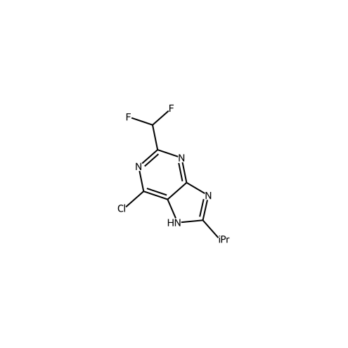 CC(C)c1nc2nc(C(F)F)nc(Cl)c2[nH]1